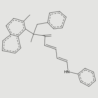 C=C(/C=C/C=C/Nc1ccccc1)C(C)(Cc1ccccc1)c1c(C)ccc2ccccc12